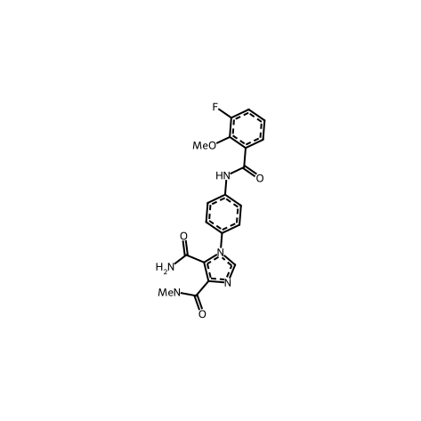 CNC(=O)c1ncn(-c2ccc(NC(=O)c3cccc(F)c3OC)cc2)c1C(N)=O